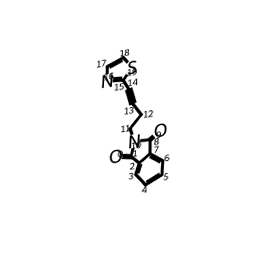 O=C1c2ccccc2C(=O)N1CCC#Cc1nccs1